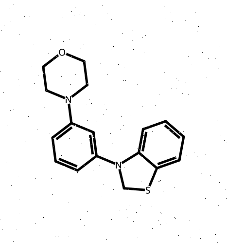 [c]1ccc(N2CCOCC2)cc1N1CSc2ccccc21